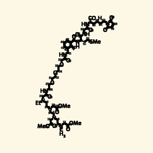 CCN(CCN(CCN(CCN(C)CC(=O)OC)CC(=O)OC)CC(=O)OC)CC(=O)NCCOCCOCCOCC(=O)NCc1cccc(C(=O)N[C@@H](CCSC)C(=O)NCC(=O)N[C@@H](CCCCN2C(=O)C=CC2=O)C(=O)O)c1F